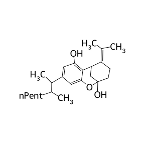 CCCCCC(C)C(C)c1cc(O)c2c(c1)OC1(O)CCC(=C(C)C)C2C1